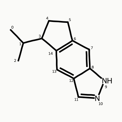 CC(C)C1CCc2cc3[nH]ncc3cc21